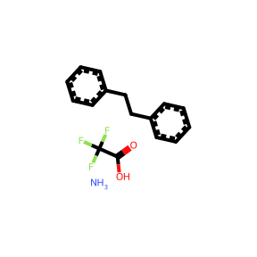 N.O=C(O)C(F)(F)F.c1ccc(CCc2ccccc2)cc1